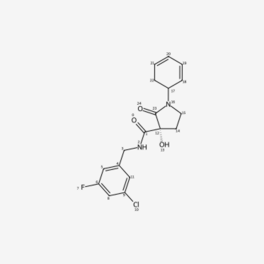 O=C(NCc1cc(F)cc(Cl)c1)[C@]1(O)CCN(C2C=CC=CC2)C1=O